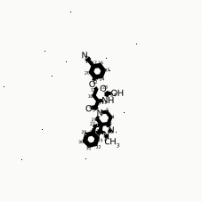 CN1N=C2CCN(C(=O)C(CCOc3cccc(C#N)c3)NC(=O)O)CC2(Cc2ccccc2)C1=O